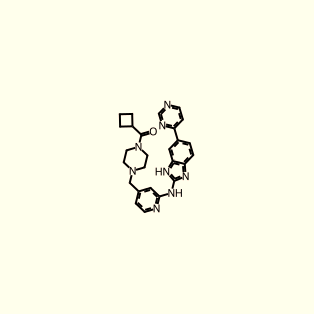 O=C(C1CCC1)N1CCN(Cc2ccnc(Nc3nc4ccc(-c5ccncn5)cc4[nH]3)c2)CC1